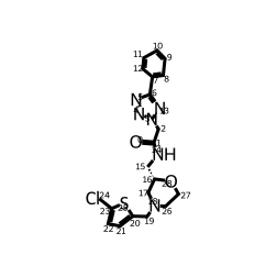 O=C(Cn1nnc(-c2ccccc2)n1)NC[C@H]1CN(Cc2ccc(Cl)s2)CCO1